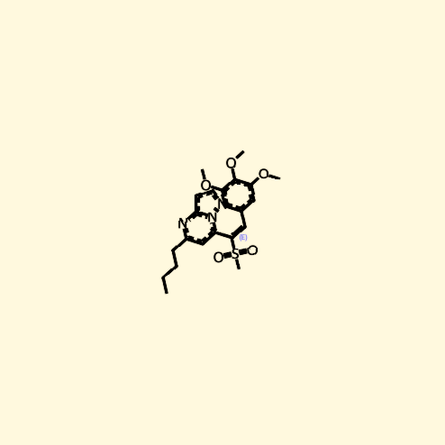 CCCCc1cc(/C(=C\c2cc(OC)c(OC)c(OC)c2)S(C)(=O)=O)n2nccc2n1